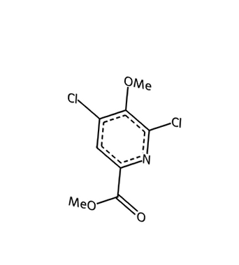 COC(=O)c1cc(Cl)c(OC)c(Cl)n1